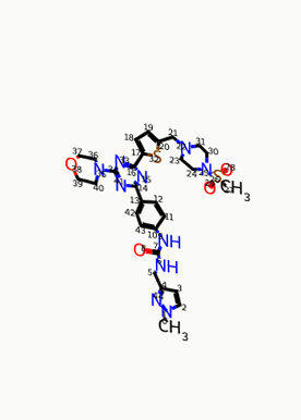 Cn1ccc(CNC(=O)Nc2ccc(-c3nc(-c4ccc(CN5CCN(S(C)(=O)=O)CC5)s4)nc(N4CCOCC4)n3)cc2)n1